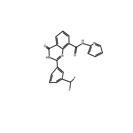 O=C(Nc1ccccn1)c1cccc2c(=O)[nH]c(-c3cccc(C(F)F)c3)nc12